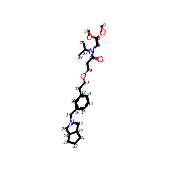 COC(CN(C(=O)CCOCCc1cccc(CN2CC3CCCC3C2)c1)C(C)C)OC